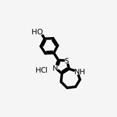 Cl.Oc1ccc(-c2nc3c(s2)NCCCC3)cc1